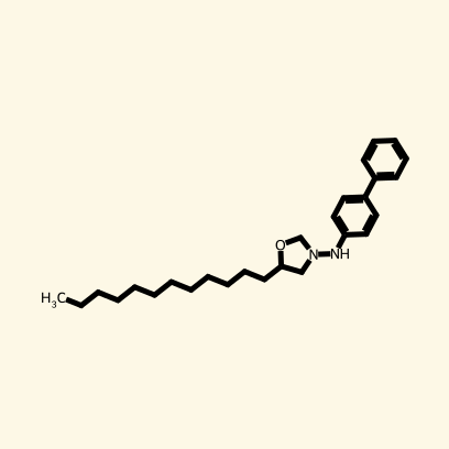 CCCCCCCCCCCCC1CN(Nc2ccc(-c3ccccc3)cc2)CO1